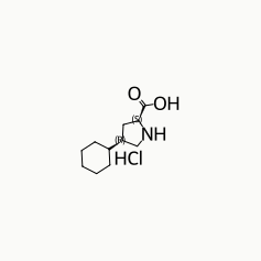 Cl.O=C(O)[C@@H]1C[C@H](C2CCCCC2)CN1